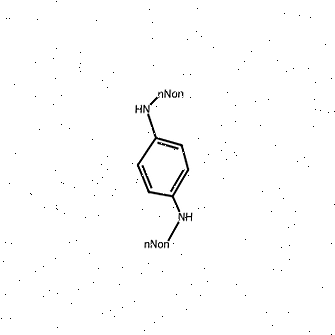 CCCCCCCCCNc1ccc(NCCCCCCCCC)cc1